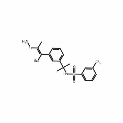 CCC(C)/C(=C(/C)ON)c1cccc(C(C)(C)NS(=O)(=O)c2cccc(C(F)(F)F)c2)c1